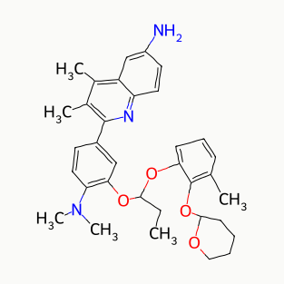 CCC(Oc1cc(-c2nc3ccc(N)cc3c(C)c2C)ccc1N(C)C)Oc1cccc(C)c1OC1CCCCO1